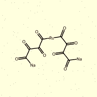 O=[C]([Na])C(=O)C(=O)[C](=O)[Ru][C](=O)C(=O)C(=O)[C](=O)[Na]